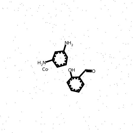 Nc1cccc(N)c1.O=Cc1ccccc1O.[Co]